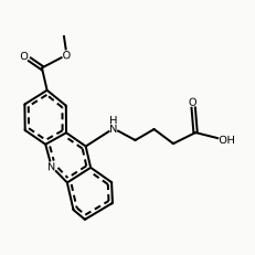 COC(=O)c1ccc2nc3ccccc3c(NCCCC(=O)O)c2c1